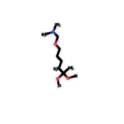 CCOC(C)(OCC)[SiH2]CCCOCN(C)C